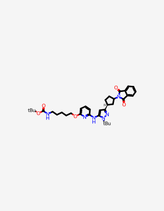 CC(C)(C)OC(=O)NCCCCCOc1cccc(Nc2cc([C@H]3CCC(N4C(=O)c5ccccc5C4=O)C3)nn2C(C)(C)C)n1